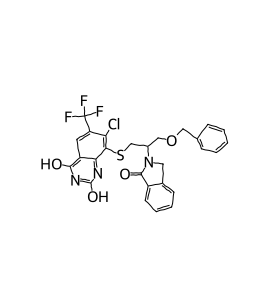 O=C1c2ccccc2CN1C(COCc1ccccc1)CSc1c(Cl)c(C(F)(F)F)cc2c(O)nc(O)nc12